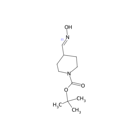 CC(C)(C)OC(=O)N1CCC(/C=N/O)CC1